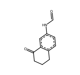 O=CNc1ccc2c(c1)C(=O)CCC2